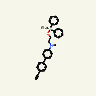 C#Cc1ccc(-c2ccc(N(C)CCO[Si](c3ccccc3)(c3ccccc3)C(C)(C)C)cc2)cc1